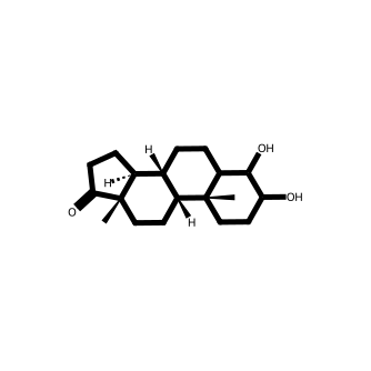 C[C@]12CCC(O)C(O)C1CC[C@@H]1[C@H]2CC[C@]2(C)C(=O)CC[C@@H]12